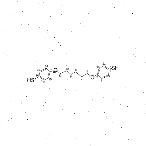 Sc1ccc(OCCCCCCOc2ccc(S)cc2)cc1